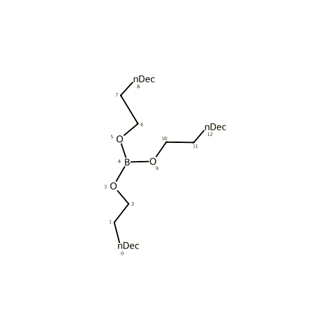 CCCCCCCCCCCCOB(OCCCCCCCCCCCC)OCCCCCCCCCCCC